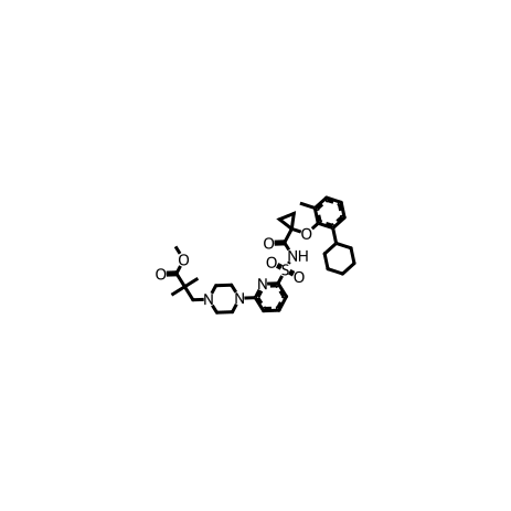 COC(=O)C(C)(C)CN1CCN(c2cccc(S(=O)(=O)NC(=O)C3(Oc4c(C)cccc4C4CCCCC4)CC3)n2)CC1